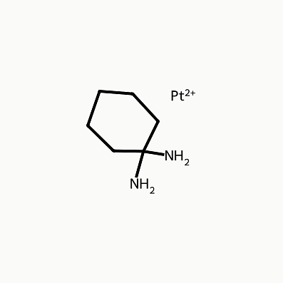 NC1(N)CCCCC1.[Pt+2]